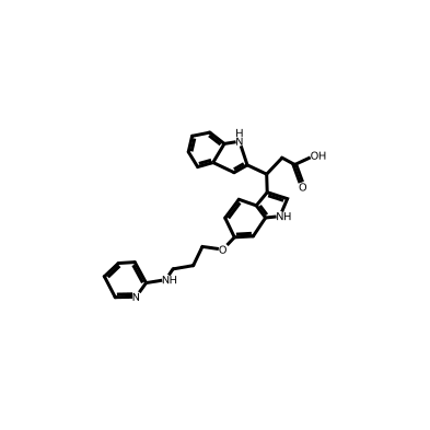 O=C(O)CC(c1cc2ccccc2[nH]1)c1c[nH]c2cc(OCCCNc3ccccn3)ccc12